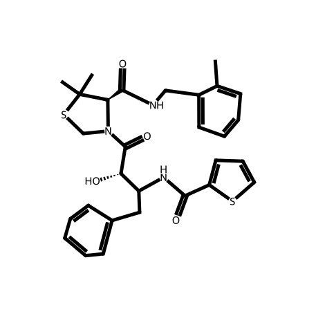 Cc1ccccc1CNC(=O)[C@H]1N(C(=O)[C@@H](O)C(Cc2ccccc2)NC(=O)c2cccs2)CSC1(C)C